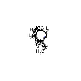 CC(=Cc1csc(C)n1)C1C/C=C/CCCC(C)C(O)C(C)C(=O)C(C)(C)[C@@H](O)CC(=O)N1C